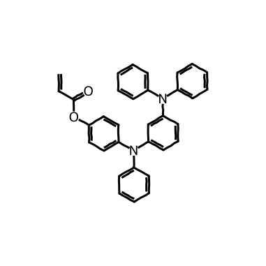 C=CC(=O)Oc1ccc(N(c2ccccc2)c2cccc(N(c3ccccc3)c3ccccc3)c2)cc1